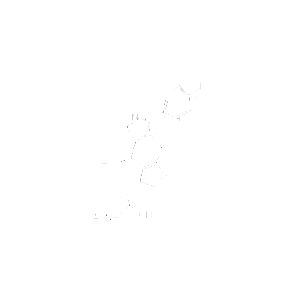 CC(=O)NC(C)C[C@H]1CCC2=C1[C@@H](C)c1cnn(-c3ccc(F)cc3)c1C2